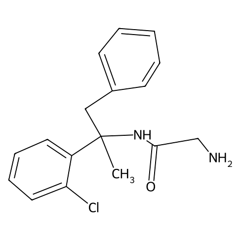 CC(Cc1ccccc1)(NC(=O)CN)c1ccccc1Cl